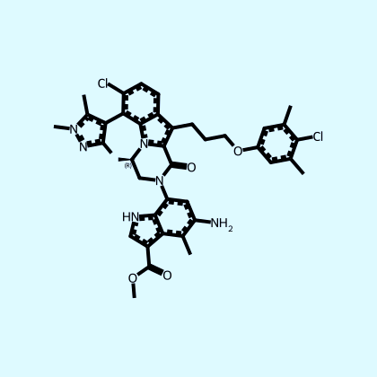 COC(=O)c1c[nH]c2c(N3C[C@@H](C)n4c(c(CCCOc5cc(C)c(Cl)c(C)c5)c5ccc(Cl)c(-c6c(C)nn(C)c6C)c54)C3=O)cc(N)c(C)c12